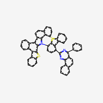 c1ccc(-c2nc(-c3ccc(-n4c5c6ccccc6ccc5c5c6ccccc6c6c7ccccc7sc6c54)c4sc5ccccc5c34)nc3c2ccc2ccccc23)cc1